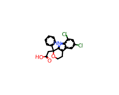 O=C(O)CC1(c2ccccc2)OCCc2c1[nH]c1c(Cl)cc(Cl)cc21